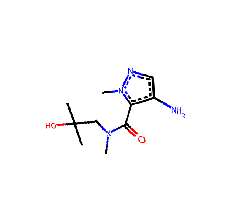 CN(CC(C)(C)O)C(=O)c1c(N)cnn1C